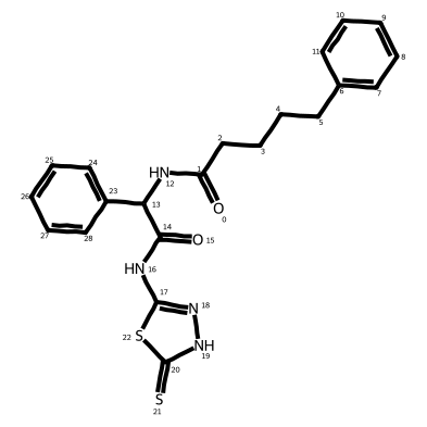 O=C(CCCCc1ccccc1)NC(C(=O)Nc1n[nH]c(=S)s1)c1ccccc1